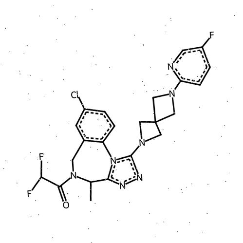 CC1c2nnc(N3CC4(CN(c5ccc(F)cn5)C4)C3)n2-c2ccc(Cl)cc2CN1C(=O)C(F)F